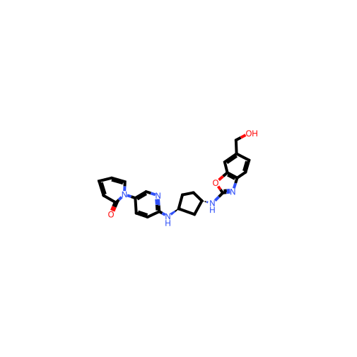 O=c1ccccn1-c1ccc(N[C@H]2CC[C@H](Nc3nc4ccc(CO)cc4o3)C2)nc1